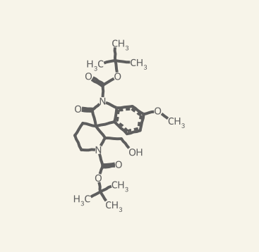 COc1ccc2c(c1)N(C(=O)OC(C)(C)C)C(=O)C21CCCN(C(=O)OC(C)(C)C)C1CO